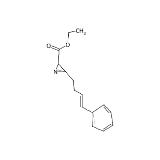 CCOC(=O)C1N=C1CC/C=C/c1ccccc1